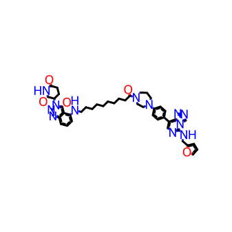 O=C1CCC(n2nnc3cccc(NCCCCCCCCCC(=O)N4CCCN(c5ccc(-c6cnc(NCc7ccco7)n7cnnc67)cc5)CC4)c3c2=O)C(=O)N1